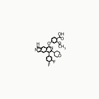 COc1cc(Oc2nc(C3CCOCC3)c(-c3ccc(F)c(F)c3)c3cc4cn[nH]c4cc23)ccc1C(=O)O